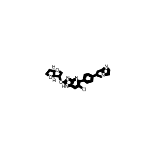 Clc1cc2[nH]c(OC3CO[C@@H]4CCO[C@H]34)nc2nc1-c1ccc(C2Cc3nccn3C2)cc1